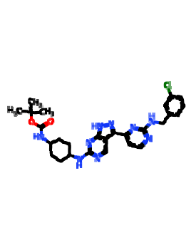 CC(C)(C)OC(=O)N[C@H]1CC[C@@H](Nc2ncc3c(-c4ccnc(NCc5cccc(Cl)c5)n4)n[nH]c3n2)CC1